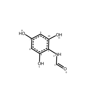 O=[C]Nc1c(O)cc(O)cc1O